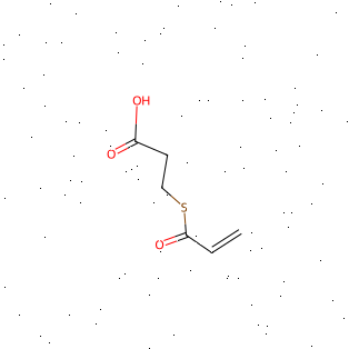 C=CC(=O)SCCC(=O)O